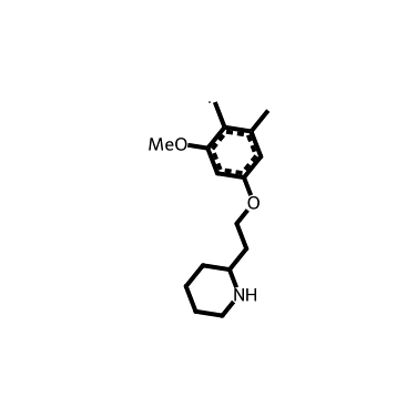 [CH2]c1c(C)cc(OCCC2CCCCN2)cc1OC